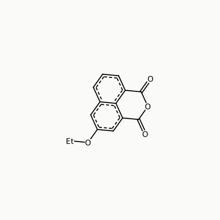 CCOc1cc2c3c(cccc3c1)C(=O)OC2=O